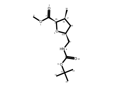 COC(=O)[C@@H]1O[C@H](CNC(=O)OC(C)(C)C)C[C@@H]1C